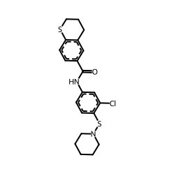 O=C(Nc1ccc(SN2CCCCC2)c(Cl)c1)c1ccc2c(c1)CCCS2